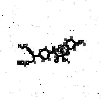 CC#CC(CC(=O)O)c1ccc(NC(=O)C(C)(C)Oc2cc(C(F)(F)F)ccc2Cl)cc1